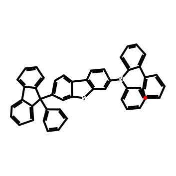 c1ccc(-c2ccccc2N(c2ccccc2)c2ccc3c(c2)sc2cc(C4(c5ccccc5)c5ccccc5-c5ccccc54)ccc23)cc1